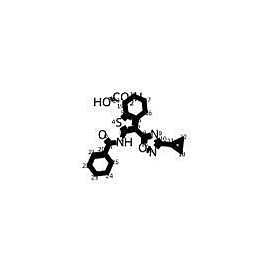 O=C(Nc1sc2c(c1-c1nc(C3CC3)no1)CCCC2)C1=CCCCC1.O=C(O)O